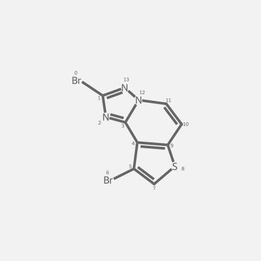 Brc1nc2c3c(Br)csc3ccn2n1